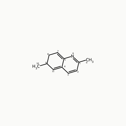 Cc1ccc2c(n1)=CCC(C)C=2